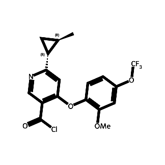 COc1cc(OC(F)(F)F)ccc1Oc1cc([C@@H]2C[C@H]2C)ncc1C(=O)Cl